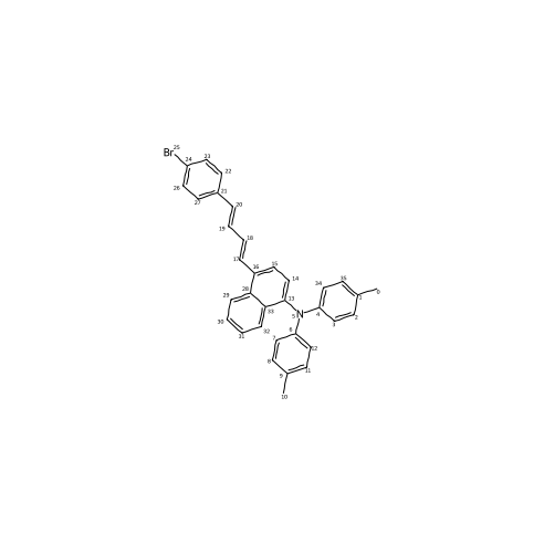 Cc1ccc(N(c2ccc(C)cc2)c2ccc(/C=C/C=C/c3ccc(Br)cc3)c3ccccc23)cc1